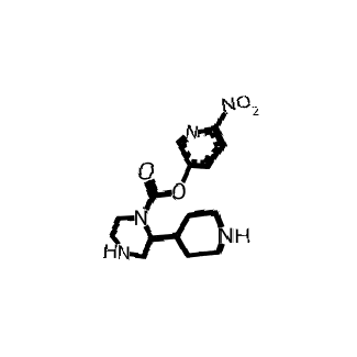 O=C(Oc1ccc([N+](=O)[O-])nc1)N1CCNCC1C1CCNCC1